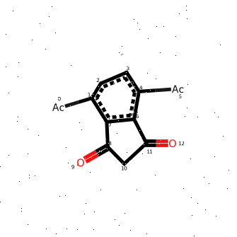 CC(=O)c1ccc(C(C)=O)c2c1C(=O)CC2=O